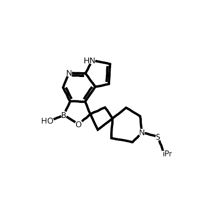 CC(C)SN1CCC2(CC1)CC1(C2)OB(O)c2cnc3[nH]ccc3c21